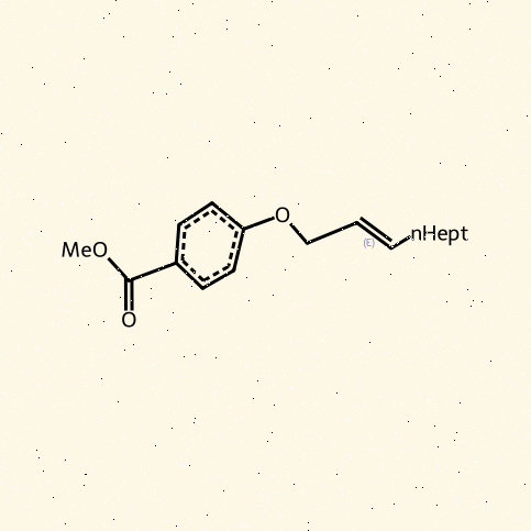 CCCCCCC/C=C/COc1ccc(C(=O)OC)cc1